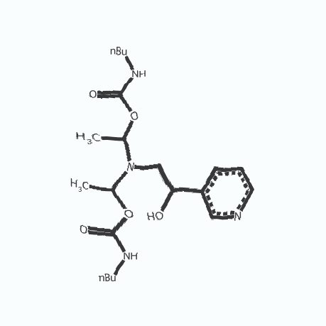 CCCCNC(=O)OC(C)N(CC(O)c1cccnc1)C(C)OC(=O)NCCCC